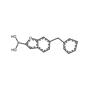 OB(O)c1cc2ccc(Cc3ccccc3)cc2o1